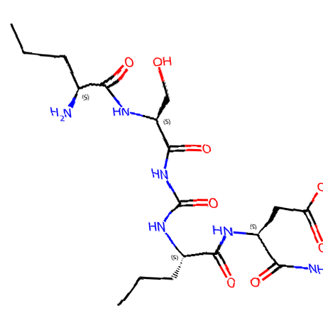 CCC[C@H](NC(=O)NC(=O)[C@H](CO)NC(=O)[C@@H](N)CCC)C(=O)N[C@@H](CC(=O)O)C(N)=O